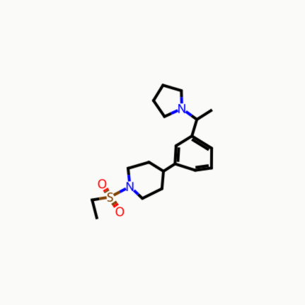 CCS(=O)(=O)N1CCC(c2cccc(C(C)N3CCCC3)c2)CC1